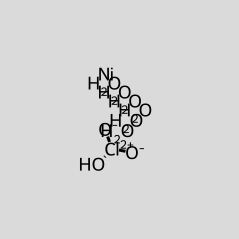 O.O.O.O.O.O.[Ni].[O-][Cl+2]([O-])O